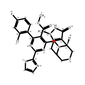 COC(=O)c1c(CN2C3COC[C@H]2c2c(n(C)[nH]c2=O)C3)nc(-c2nccs2)nc1-c1ccc(F)cc1Cl